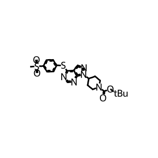 CC(C)(C)OC(=O)N1CCC(n2ncc3c(Sc4ccc(S(C)(=O)=O)cc4)ncnc32)CC1